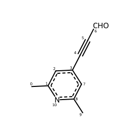 Cc1cc(C#CC=O)cc(C)n1